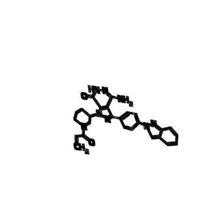 C=CC(=O)N1CCCC(n2nc(-c3ccc(-n4cc5ccccc5n4)cc3)c3c(N)n[nH]c(=O)c32)C1